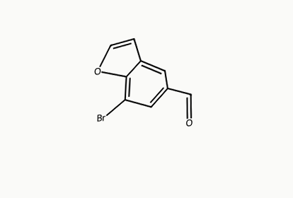 O=Cc1cc(Br)c2occc2c1